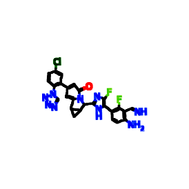 N=Cc1c(N)ccc(-c2[nH]c(C3C4CC4c4cc(-c5cc(Cl)ccc5-n5cnnn5)cc(=O)n43)nc2F)c1F